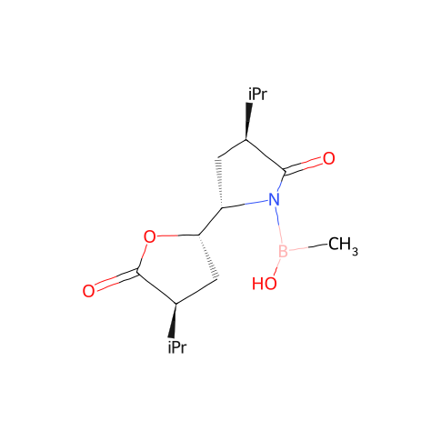 CB(O)N1C(=O)[C@H](C(C)C)C[C@H]1[C@@H]1C[C@@H](C(C)C)C(=O)O1